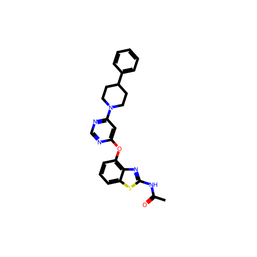 CC(=O)Nc1nc2c(Oc3cc(N4CCC(c5ccccc5)CC4)ncn3)cccc2s1